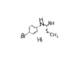 CSC(=N)Nc1ccc(Br)cc1.I